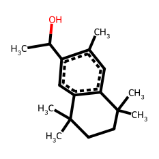 Cc1cc2c(cc1C(C)O)C(C)(C)CCC2(C)C